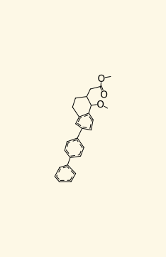 COC(=O)CC1CCc2cc(-c3ccc(-c4ccccc4)cc3)ccc2C1OC